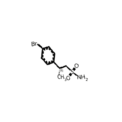 C[C@@H](CS(N)(=O)=O)c1ccc(Br)cc1